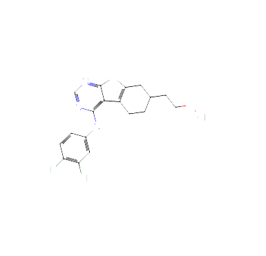 COCCC1CCc2c(sc3ncnc(Nc4ccc(F)c(Cl)c4)c23)C1